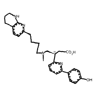 CN(CCCCc1ccc2c(n1)NCCC2)C[C@@H](CC(=O)O)c1cccc(-c2ccc(O)cc2)n1